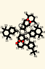 Cc1cc2c3c(c1)N(c1ccc4c(c1)C(C)(C)CCC4(C)C)c1oc4cc5c(cc4c1B3c1cc3c(cc1N2c1ccc(C(C)(C)C)cc1-c1ccccc1)C(C)(C)CCC3(C)C)C1(C)CCC5(C)CC1